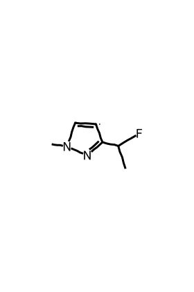 CC(F)c1[c]cn(C)n1